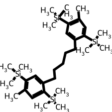 Cc1cc([Si](C)(C)C)c(CCCCCc2cc([Si](C)(C)C)c(C)cc2[Si](C)(C)C)cc1[Si](C)(C)C